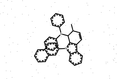 CC1C=Cc2c(n(-c3ccc4ccccc4c3)c3ccccc23)C1N(c1ccccc1)c1ccccc1